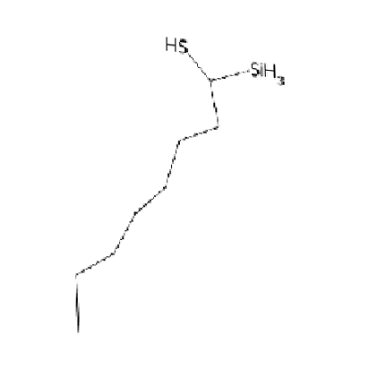 CCCCCCCC([SiH3])S